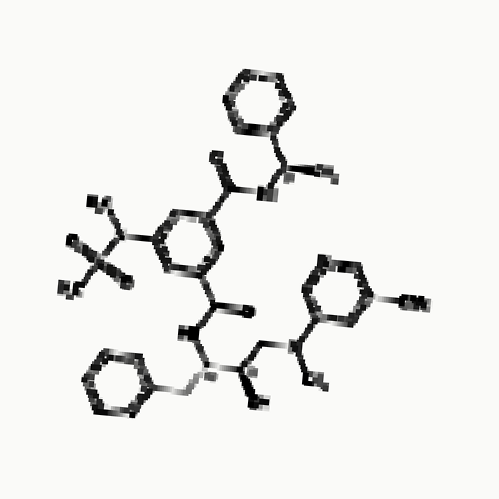 COc1cncc(N(C)C[C@@H](O)[C@H](Cc2ccccc2)NC(=O)c2cc(C(=O)N[C@H](C)c3ccccc3)cc(N(C)S(C)(=O)=O)c2)c1